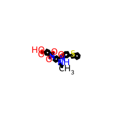 CCCNc1ccc(N2C(=O)c3ccc(C(=O)O)cc3C2=O)cc1-c1nc2cc(-c3cc4ccccc4s3)ccc2o1